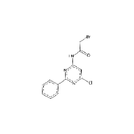 O=C(CBr)Nc1cc(Cl)nc(-c2ccccc2)n1